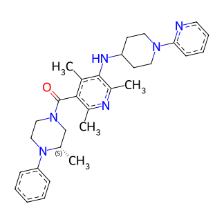 Cc1nc(C)c(C(=O)N2CCN(c3ccccc3)[C@@H](C)C2)c(C)c1NC1CCN(c2ccccn2)CC1